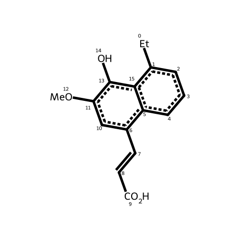 CCc1cccc2c(/C=C/C(=O)O)cc(OC)c(O)c12